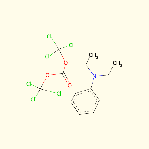 CCN(CC)c1ccccc1.O=C(OC(Cl)(Cl)Cl)OC(Cl)(Cl)Cl